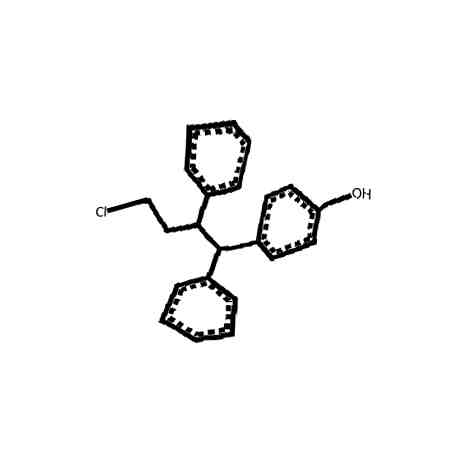 Oc1ccc(C(c2ccccc2)C(CCCl)c2ccccc2)cc1